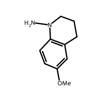 COc1ccc2c(c1)CCCN2N